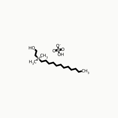 CCCCCCCCCCCC[N+](C)(C)CCO.O=S(=O)([O-])O